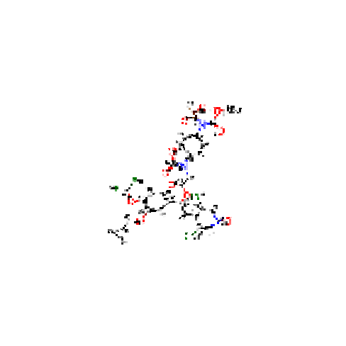 CC(C)(C)OC(=O)N(c1ccc2c(c1)oc(=O)n2CC(=O)O[C@@H](Cc1c(Cl)c[n+]([O-])cc1Cl)c1ccc(OC(F)F)c(OCC2CC2)c1)S(C)(=O)=O